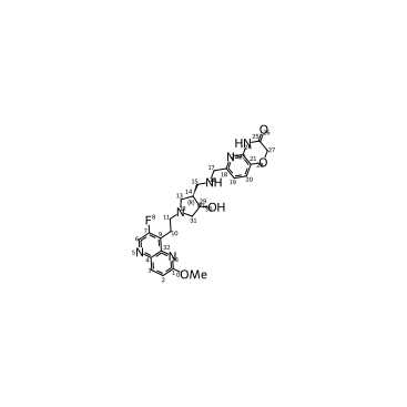 COc1ccc2ncc(F)c(CCN3C[C@@H](CNCc4ccc5c(n4)NC(=O)CO5)[C@@H](O)C3)c2n1